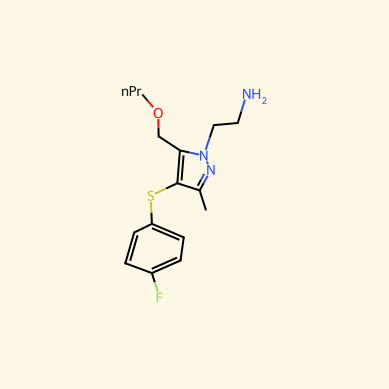 CCCOCc1c(Sc2ccc(F)cc2)c(C)nn1CCN